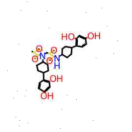 CS(=O)(=O)N(CS(=O)(=O)NC1CCC(c2ccc(O)cc2O)CC1)C1CCC(c2ccc(O)cc2O)CC1